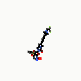 C[C@@](CCN1Cc2cc(C#CC#CC3CN(CC(F)F)C3)cn2C1=O)(C(=O)NO)S(C)(=O)=O